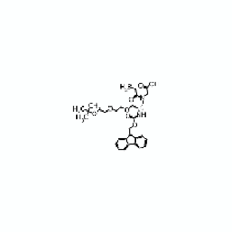 BCC(=O)N(CC(=O)O)C[C@@H](COCCOCCOC(C)(C)C)NC(=O)OCC1c2ccccc2-c2ccccc21